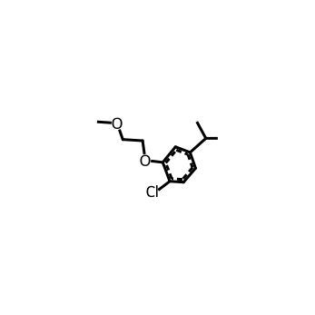 COCCOc1cc(C(C)C)ccc1Cl